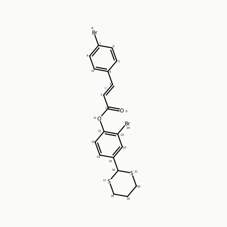 O=C(/C=C/c1ccc(Br)cc1)Oc1ccc(C2SCCCS2)cc1Br